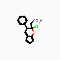 O=C(O)CC1(Cl)OC2=CC=CC2=CC1c1ccccc1